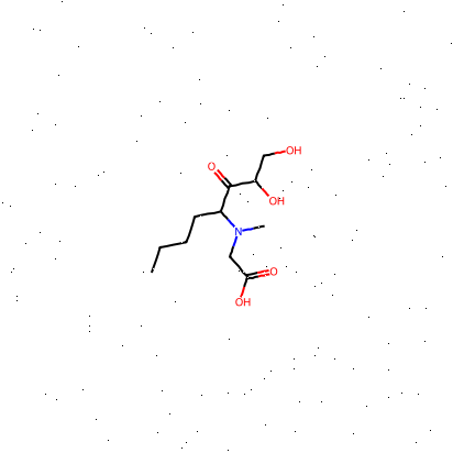 CCCCC(C(=O)C(O)CO)N(C)CC(=O)O